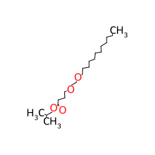 CCCCCCCCCCCCOCCOCCCC(=O)OCC(C)C